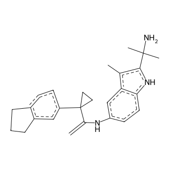 C=C(Nc1ccc2[nH]c(C(C)(C)N)c(C)c2c1)C1(c2ccc3c(c2)CCC3)CC1